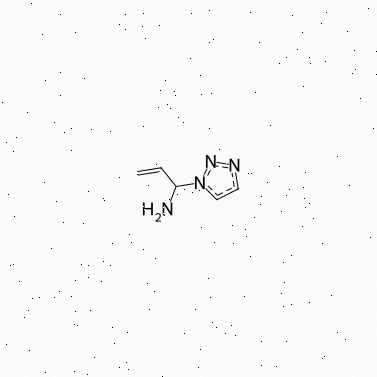 C=CC(N)n1ccnn1